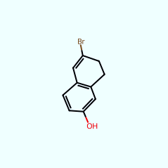 Oc1ccc2c(c1)CCC(Br)=C2